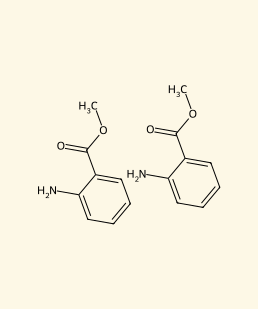 COC(=O)c1ccccc1N.COC(=O)c1ccccc1N